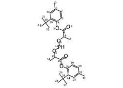 Cc1ccc(OC(=O)C(C)OPOC(C)C(=O)Oc2ccc(C)cc2C(C)(C)C)c(C(C)(C)C)c1